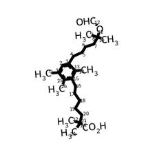 Cc1cc(CCCCC(C)(C)OC=O)c(C)c(CCCCCC(C)(C)C(=O)O)c1C